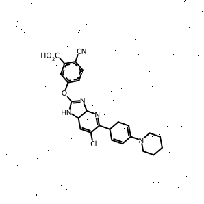 N#Cc1ccc(OC2=NC3N=C(C4C=CC(N5CCCCC5)=CC4)C(Cl)=CC3N2)cc1C(=O)O